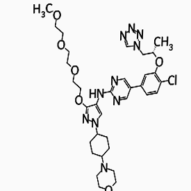 COCCOCCOCCOc1nn(C2CCC(N3CCOCC3)CC2)cc1Nc1ncc(-c2ccc(Cl)c(O[C@@H](C)Cn3cnnn3)c2)cn1